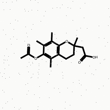 CC(=O)Oc1c(C)c(C)c2c(c1C)CCC(C)(CC(=O)O)O2